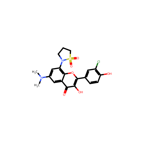 CN(C)c1cc(N2CCCS2(=O)=O)c2oc(-c3ccc(O)c(Cl)c3)c(O)c(=O)c2c1